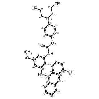 COc1cc(NC(=O)Oc2ccc(N(CCCl)CCCl)cc2)cc(Nc2c3ccccc3nc3c(C)cccc23)c1